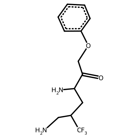 NCC(CC(N)C(=O)COc1ccccc1)C(F)(F)F